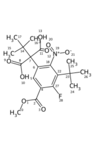 COC(=O)c1cc(C(C(=O)O)(C(=O)O)C(C)(C)C)c([N+](=O)[O-])c(C(C)(C)C)c1F